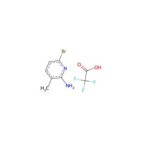 Cc1ccc(Br)nc1N.O=C(O)C(F)(F)F